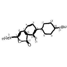 CCCCCCc1cc2ccc(C3CCC(CCCC)CC3)c(F)c2c(=O)o1